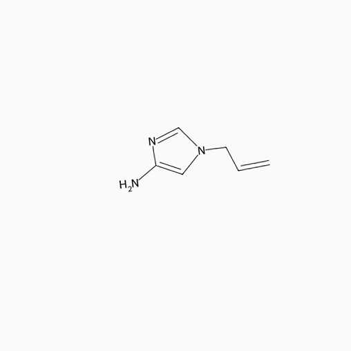 C=CCn1cnc(N)c1